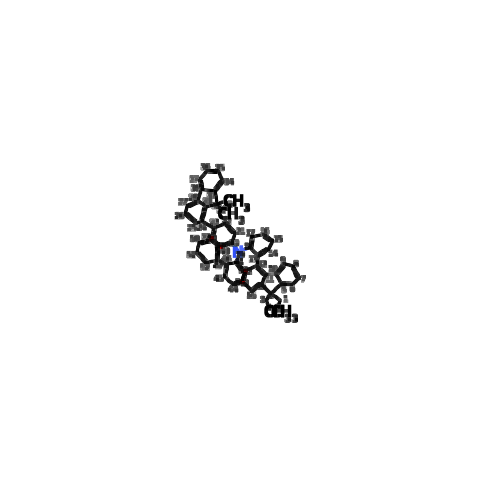 CCC1(CC)c2ccccc2-c2c(-c3ccccc3N(c3ccc(-c4cccc5c4C(C)(C)c4ccccc4-5)cc3)c3ccccc3-c3ccccc3)cccc21